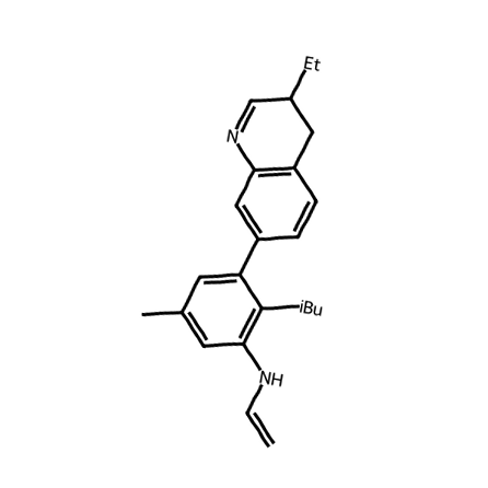 C=CNc1cc(C)cc(-c2ccc3c(c2)N=CC(CC)C3)c1C(C)CC